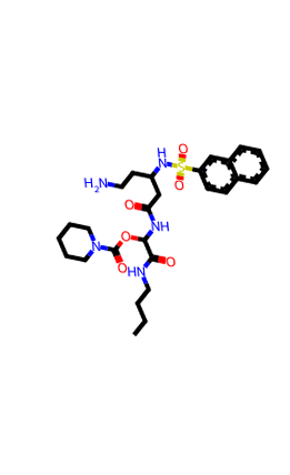 CCCCNC(=O)C(NC(=O)CC(CCN)NS(=O)(=O)c1ccc2ccccc2c1)OC(=O)N1CCCCC1